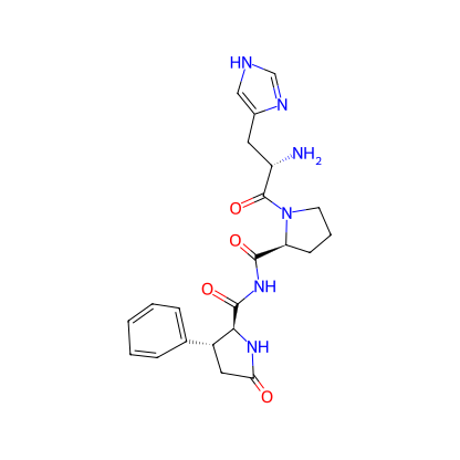 N[C@@H](Cc1c[nH]cn1)C(=O)N1CCC[C@H]1C(=O)NC(=O)[C@H]1NC(=O)C[C@@H]1c1ccccc1